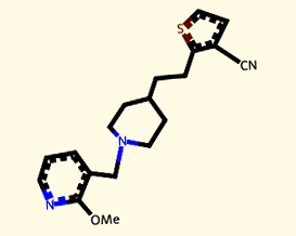 COc1ncccc1CN1CCC(CCc2sccc2C#N)CC1